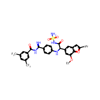 CCCc1cc2cc(C(Nc3ccc(C(=N)NC(=O)c4cc(C(F)(F)F)cc(C(F)(F)F)c4)cc3)C(=O)NS(N)(=O)=O)cc(OCC)c2o1